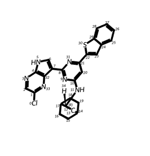 Clc1cnc2[nH]cc(-c3nc(N[C@@H]4CC5CCC4CC5)cc(-c4cc5ccccc5s4)n3)c2n1